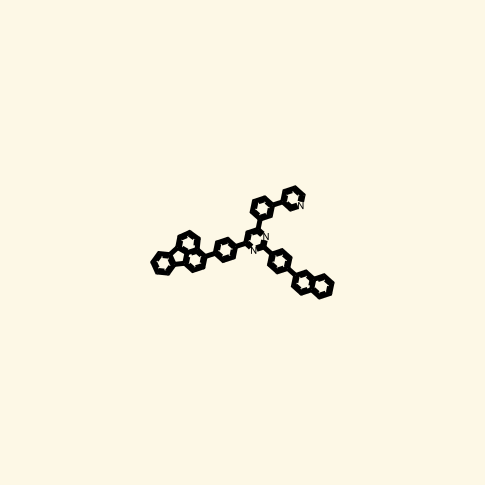 c1cncc(-c2cccc(-c3cc(-c4ccc(-c5ccc6c7c(cccc57)-c5ccccc5-6)cc4)nc(-c4ccc(-c5ccc6ccccc6c5)cc4)n3)c2)c1